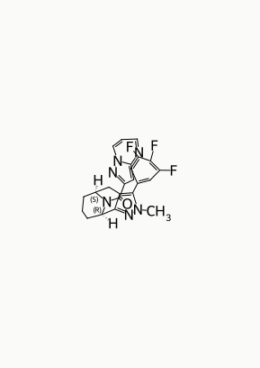 Cn1nc2c(c1-c1cc(F)c(F)c(F)c1)C[C@@H]1CCC[C@H]2N1C(=O)c1cc2ncccn2n1